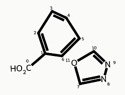 O=C(O)c1ccccc1.c1nnco1